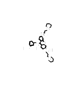 Cc1cccc(CNc2c3ccc(NC(=O)CCN4CCCCC4)cc3nc3cc(NC(=O)CCN4CCCCC4)ccc23)c1